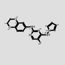 Fc1cnc(Nc2ccc3c(c2)OCCO3)nc1Nn1cccc1